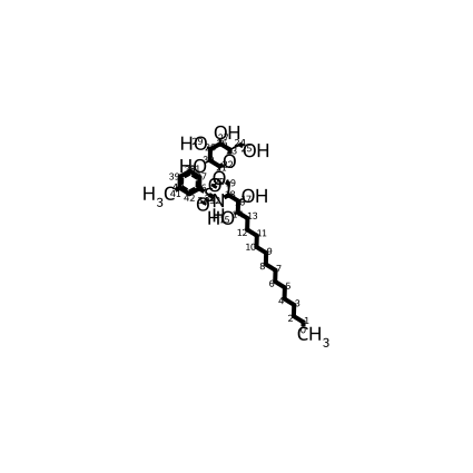 CCCCCCCCCCCCCC[C@@H](O)[C@@H](O)[C@H](CO[C@H]1O[C@H](CO)[C@H](O)[C@H](O)[C@H]1O)NS(=O)(=O)c1cccc(C)c1